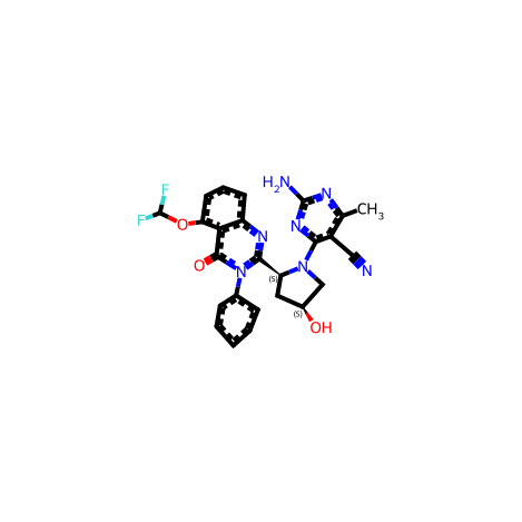 Cc1nc(N)nc(N2C[C@@H](O)C[C@H]2c2nc3cccc(OC(F)F)c3c(=O)n2-c2ccccc2)c1C#N